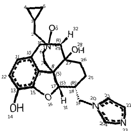 [O-][N+]1(CC2CC2)CC[C@]23c4c5ccc(O)c4O[C@H]2[C@@H](Cn2ccnc2)CCC3(O)[C@H]1C5